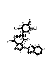 NC(=O)c1ncn(-c2nc3ccccc3[nH]2)c1C(=O)Nc1cc(Cl)c(Cl)cc1Cl